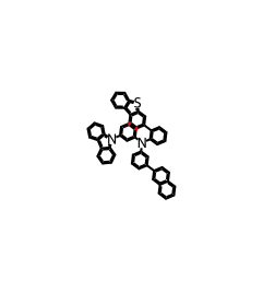 c1cc(-c2ccc3ccccc3c2)cc(N(c2cccc(-n3c4ccccc4c4ccccc43)c2)c2ccccc2-c2ccc3c(c2)sc2ccccc23)c1